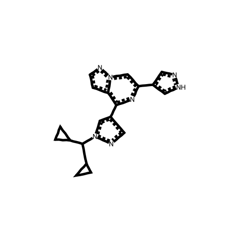 c1cc2c(-c3cnn(C(C4CC4)C4CC4)c3)nc(-c3cn[nH]c3)cn2n1